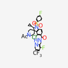 CC(=O)N1CCC2(CC1)c1c(ccc(C(=O)NCc3ncc(C(F)(F)F)cc3F)c1Cl)N(S(=O)(=O)c1ccc(F)cc1)C2C1CC1